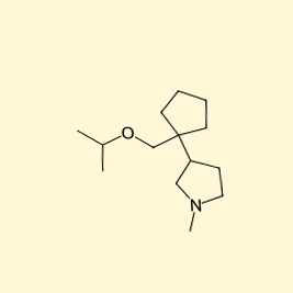 CC(C)OCC1(C2CCN(C)C2)CCCC1